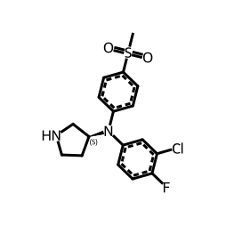 CS(=O)(=O)c1ccc(N(c2ccc(F)c(Cl)c2)[C@H]2CCNC2)cc1